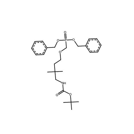 CC(C)(CCOCP(=O)(OCc1ccccc1)OCc1ccccc1)CNC(=O)OC(C)(C)C